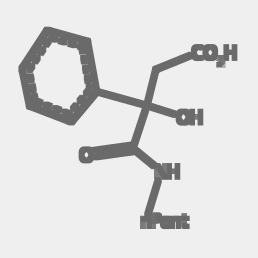 CCCCCNC(=O)C(O)(CC(=O)O)c1ccccc1